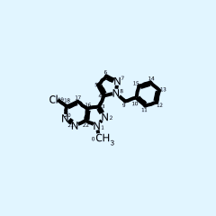 Cn1nc(-c2ccnn2Cc2ccccc2)c2cc(Cl)nnc21